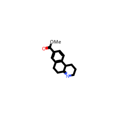 COC(=O)c1ccc2c(c1)CCC1=NCCCC12